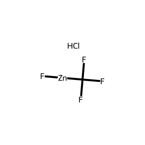 Cl.[F][Zn][C](F)(F)F